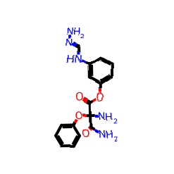 NN=CNc1cccc(OC(=O)C(N)(Oc2ccccc2)C(N)=O)c1